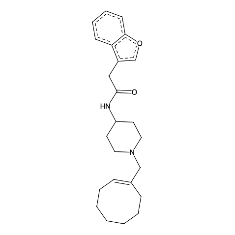 O=C(Cc1coc2ccccc12)NC1CCN(CC2=CCCCCCC2)CC1